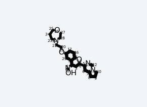 O/N=c1\cc(-c2cc3cccn3cn2)oc2ccc(OCCN3CCCOCC3)cc12